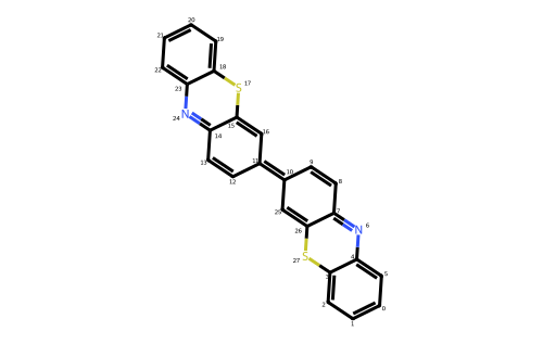 c1ccc2c(c1)N=c1ccc(=c3ccc4c(c3)Sc3ccccc3N=4)cc1S2